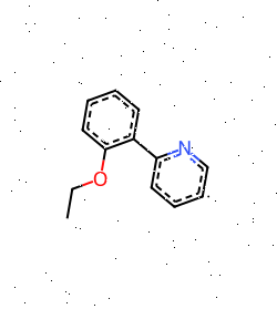 CCOc1ccccc1-c1cc[c]cn1